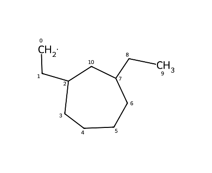 [CH2]CC1CCCCC(CC)C1